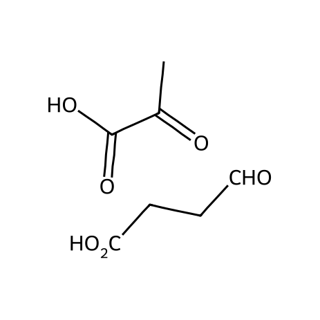 CC(=O)C(=O)O.O=CCCC(=O)O